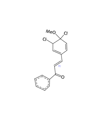 COC1(Cl)C=CC(/C=C/C(=O)c2ccccc2)=CC1Cl